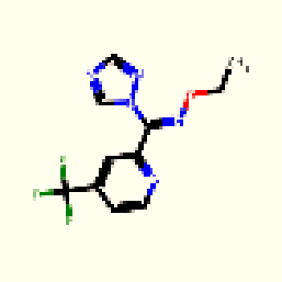 CCO/N=C(/c1cc(C(F)(F)F)ccn1)n1cncn1